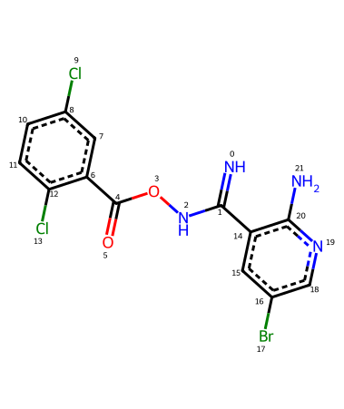 N=C(NOC(=O)c1cc(Cl)ccc1Cl)c1cc(Br)cnc1N